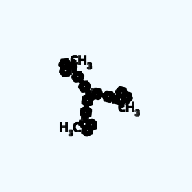 CCCN(c1ccc(-c2ccc(-n3c4ccc(-c5ccc(N(CCC)c6cccc7ccccc67)cc5)cc4c4cc(-c5ccc(N(CCC)c6cccc7ccccc67)cc5)ccc43)cc2)cc1)c1cccc2ccccc12